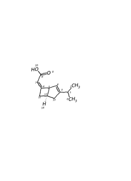 CC(C)C1=CC2C(=CC(=O)O)C[C@@H]2C1